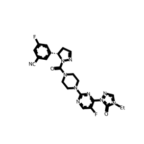 CCn1cnn(-c2nc(N3CCN(C(=O)N4N=CC[C@H]4c4cc(F)cc(C#N)c4)CC3)ncc2F)c1=O